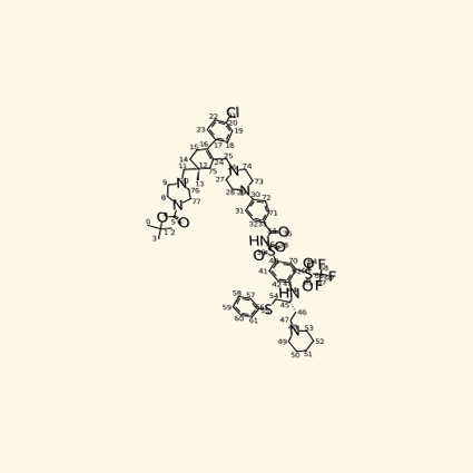 CC(C)(C)OC(=O)N1CCN(C[C@]2(C)CCC(c3ccc(Cl)cc3)=C(CN3CCN(c4ccc(C(=O)NS(=O)(=O)c5ccc(N[C@H](CCN6CCCCC6)CSc6ccccc6)c(S(=O)(=O)C(F)(F)F)c5)cc4)CC3)C2)CC1